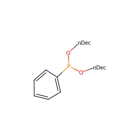 CCCCCCCCCCOP(OCCCCCCCCCC)c1ccccc1